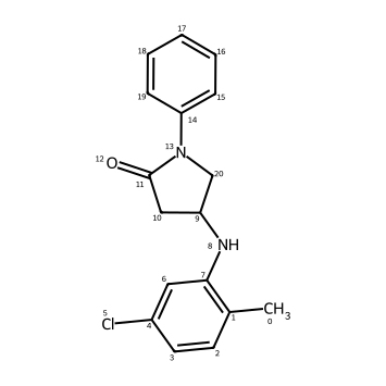 Cc1ccc(Cl)cc1NC1CC(=O)N(c2ccccc2)C1